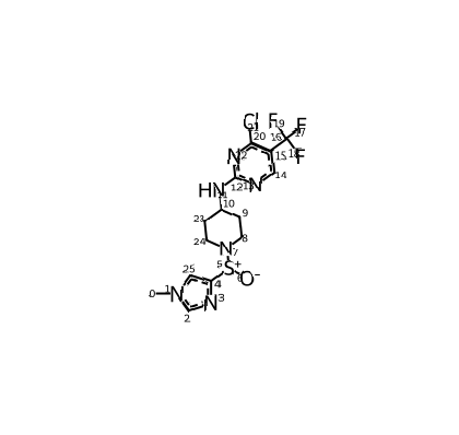 Cn1cnc([S+]([O-])N2CCC(Nc3ncc(C(F)(F)F)c(Cl)n3)CC2)c1